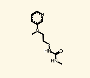 CNC(=O)NSCCN(C)c1cccnc1